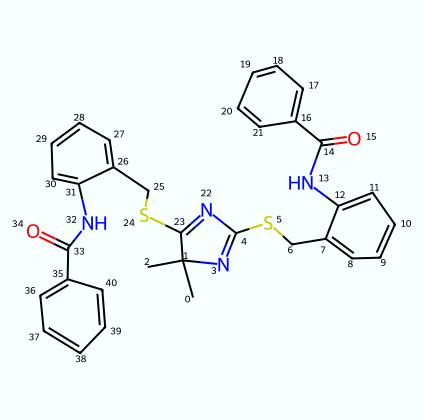 CC1(C)N=C(SCc2ccccc2NC(=O)c2ccccc2)N=C1SCc1ccccc1NC(=O)c1ccccc1